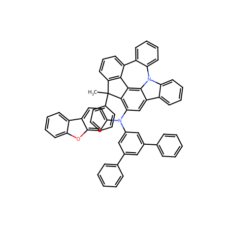 CC1(c2ccccc2)c2cccc3c2-c2c1c(N(c1cc(-c4ccccc4)cc(-c4ccccc4)c1)c1ccc4c(c1)oc1ccccc14)cc1c4ccccc4n(c21)-c1ccccc1-3